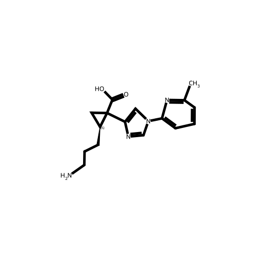 Cc1cccc(-n2cnc(C3(C(=O)O)C[C@@H]3CCCN)c2)n1